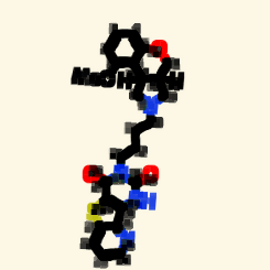 COc1cccc2c1[C@H]1CN(CCCCn3c(=O)[nH]c4c(sc5cccnc54)c3=O)C[C@H]1CO2